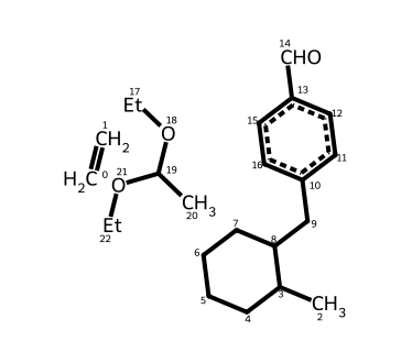 C=C.CC1CCCCC1Cc1ccc(C=O)cc1.CCOC(C)OCC